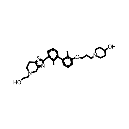 Cc1c(OCCCN2CCC(O)CC2)cccc1-c1cccc(-c2nc3c(s2)CCN(CCO)C3)c1C